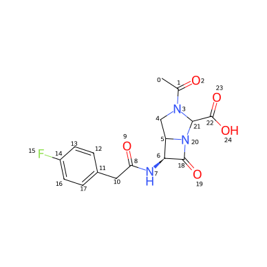 CC(=O)N1CC2[C@H](NC(=O)Cc3ccc(F)cc3)C(=O)N2C1C(=O)O